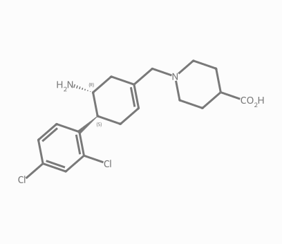 N[C@@H]1CC(CN2CCC(C(=O)O)CC2)=CC[C@H]1c1ccc(Cl)cc1Cl